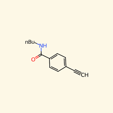 C#Cc1ccc(C(=O)NCCCC)cc1